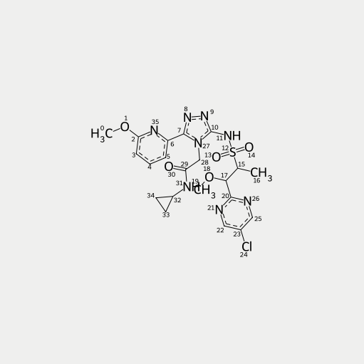 COc1cccc(-c2nnc(NS(=O)(=O)C(C)C(OC)c3ncc(Cl)cn3)n2CC(=O)NC2CC2)n1